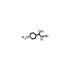 CCCNC(O)C1CCN(C)CC1